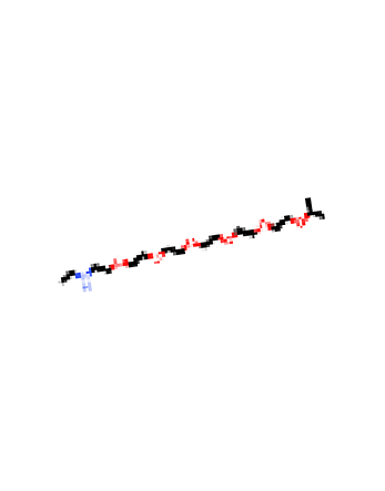 CCNCCOCCOCCOCCOCCOCCOC(C)C